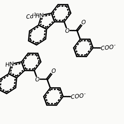 O=C([O-])c1cccc(C(=O)Oc2cccc3[nH]c4ccccc4c23)c1.O=C([O-])c1cccc(C(=O)Oc2cccc3[nH]c4ccccc4c23)c1.[Cd+2]